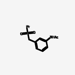 CC(=O)Nc1cccc(CS(=O)(=O)C(C)C)c1